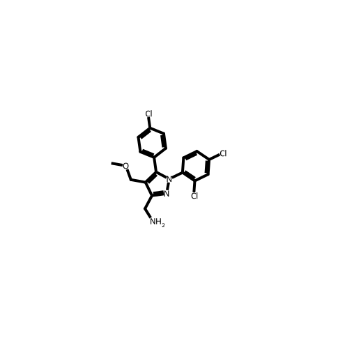 COCc1c(CN)nn(-c2ccc(Cl)cc2Cl)c1-c1ccc(Cl)cc1